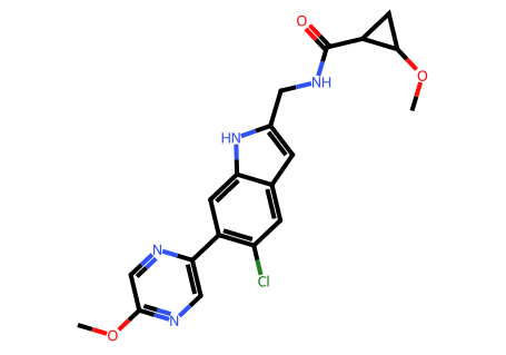 COc1cnc(-c2cc3[nH]c(CNC(=O)C4CC4OC)cc3cc2Cl)cn1